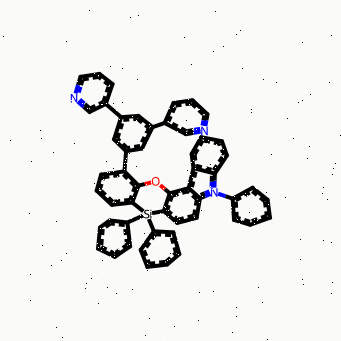 c1ccc(-n2c3ccccc3c3c4c(ccc32)[Si](c2ccccc2)(c2ccccc2)c2cccc(-c3cc(-c5cccnc5)cc(-c5cccnc5)c3)c2O4)cc1